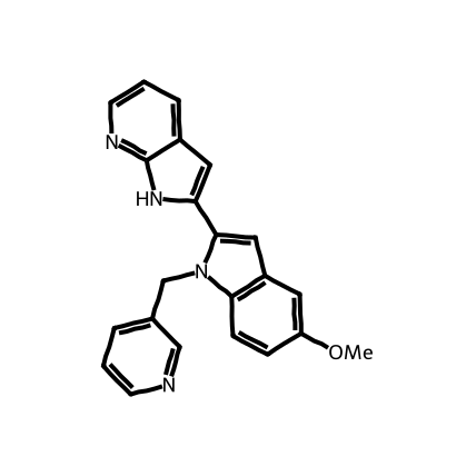 COc1ccc2c(c1)cc(-c1cc3cccnc3[nH]1)n2Cc1cccnc1